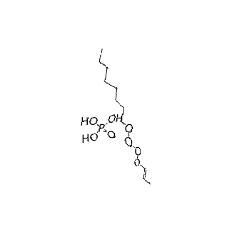 CC=COOOOCCCCCCCC.O=P(O)(O)O